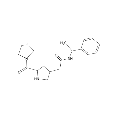 CC(NC(=O)CC1CNC(C(=O)N2CCSC2)C1)c1ccccc1